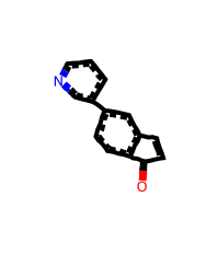 O=C1C=Cc2cc(-c3cccnc3)ccc21